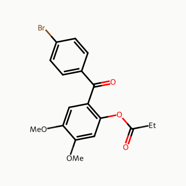 CCC(=O)Oc1cc(OC)c(OC)cc1C(=O)c1ccc(Br)cc1